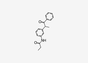 CCC(=O)Nc1cccc(C(C)C(=O)c2ccccc2)c1